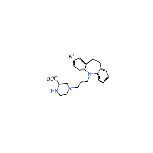 O=C([O-])C1CN(CCCN2c3ccccc3CCc3ccccc32)CCN1.[K+]